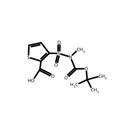 CN(C(=O)OC(C)(C)C)S(=O)(=O)c1ccsc1C(=O)O